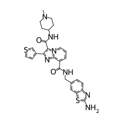 CN1CCC(NC(=O)c2c(-c3ccsc3)nc3c(C(=O)NCc4ccc5nc(N)sc5c4)cccn23)CC1